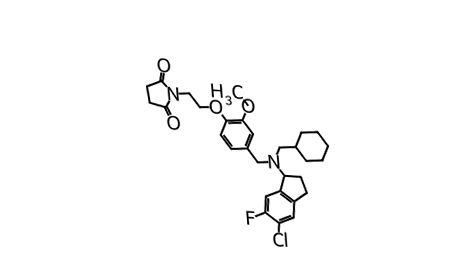 COc1cc(CN(CC2CCCCC2)C2CCc3cc(Cl)c(F)cc32)ccc1OCCN1C(=O)CCC1=O